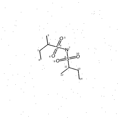 CCC(C)S(=O)(=O)[N]S(=O)(=O)C(C)CC